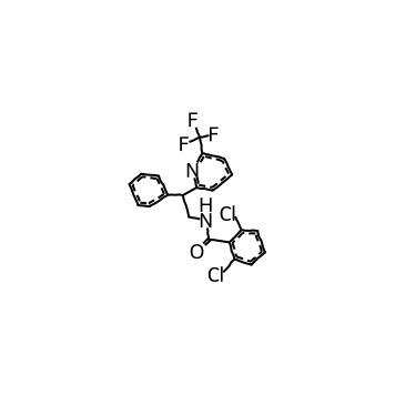 O=C(NCC(c1ccccc1)c1cccc(C(F)(F)F)n1)c1c(Cl)cccc1Cl